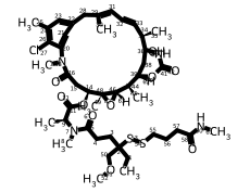 CCC(CCC(=O)N(C)[C@@H](C)C(=O)O[C@H]1CC(=O)N(C)c2cc(cc(C)c2Cl)C/C(C)=C/C=C/[C@@H](C)[C@@]2(O)C[C@H](OC(=O)N2)[C@@H](C)[C@@H]2O[C@@]12C)(COC)SSCCCC(=O)NC